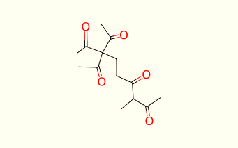 CC(=O)C(C)C(=O)CCC(C(C)=O)(C(C)=O)C(C)=O